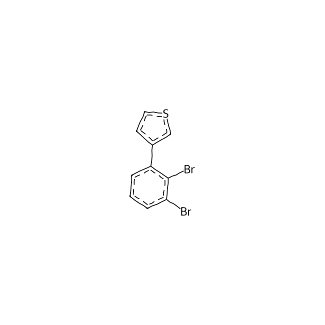 Brc1cccc(-c2ccsc2)c1Br